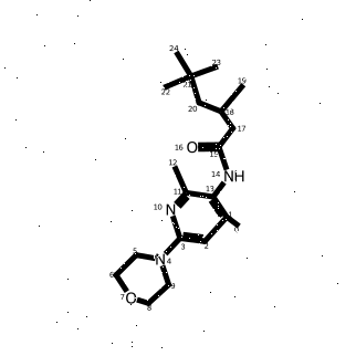 Cc1cc(N2CCOCC2)nc(C)c1NC(=O)CC(C)CC(C)(C)C